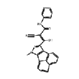 Cn1nc(/C(O)=C(\C#N)C(=O)Nc2ccccc2)c2c1-c1cccc3cccc-2c13